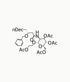 CCCCCCCCCCC[C@H](CC(=O)N[C@@H]1[C@@H](OCCOC(C)=O)O[C@H](COC(C)=O)[C@@H](OC(C)=O)[C@@H]1OC(C)=O)OCc1ccccc1